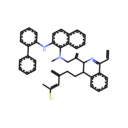 C=CC1=NC(C(=C)CN(C)c2c(Nc3ccccc3-c3ccccc3)ccc3ccccc23)C(CCC(=C)/C=C(\C)S)c2ccccc21